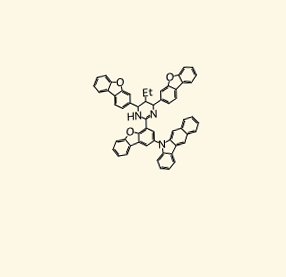 CCC1C(c2ccc3c(c2)oc2ccccc23)N=C(c2cc(-n3c4ccccc4c4cc5ccccc5cc43)cc3c2oc2ccccc23)NC1c1ccc2c(c1)oc1ccccc12